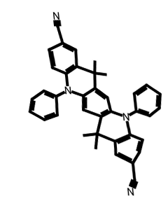 CC1(C)c2cc(C#N)ccc2N(c2ccccc2)c2cc3c(cc21)N(c1ccccc1)c1ccc(C#N)cc1C3(C)C